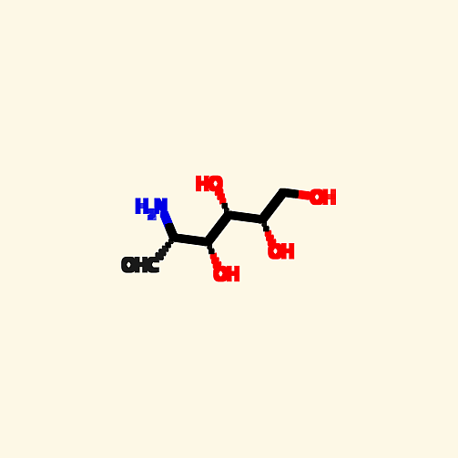 N[C@@H](C=O)[C@@H](O)[C@H](O)[C@@H](O)CO